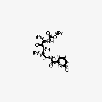 CC(C)OC(=O)N[C@H](C(=O)N[C@H](CNC(=O)c1cccc(Cl)n1)C(C)C)C(C)C